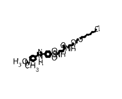 CN(C)c1ccc(-c2cnc(-c3ccc(S(=O)(=O)NCCC(=O)NCCOCCOCCCCCCCl)cc3)[nH]2)cc1